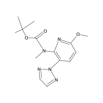 COc1ccc(-n2nccn2)c(N(C)C(=O)OC(C)(C)C)n1